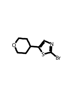 Brc1n[c]c(C2CCOCC2)s1